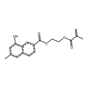 C=C(C)C(=O)OCCOC(=O)c1ccc2cc(C)cc(O)c2c1